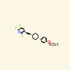 CCCCCCCCOc1ccc([C@H]2CC[C@H](C#Cc3cc(F)c(F)nc3F)CC2)cc1